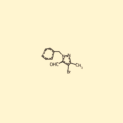 Cc1nn(Cc2ccccc2)c(C=O)c1Br